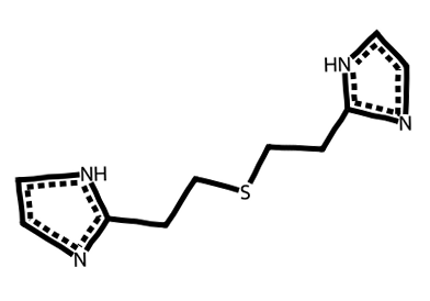 c1c[nH]c(CCSCCc2ncc[nH]2)n1